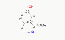 COC1NCCc2ccc(O)cc21